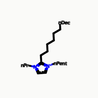 CCCCCCCCCCCCCCCCc1n(CCC)cc[n+]1CCCCC